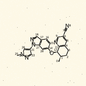 C[C@@H]1CCc2cc(C#N)cnc2[C@@H]1Oc1ccc2cnn(-c3cnn(C)c3)c2c1